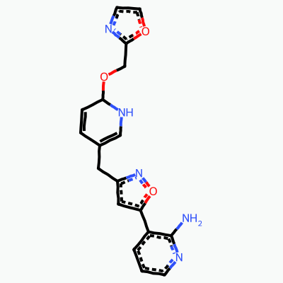 Nc1ncccc1-c1cc(CC2=CNC(OCc3ncco3)C=C2)no1